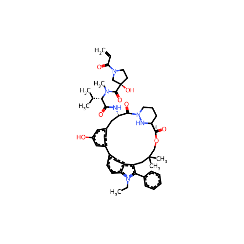 C=CC(=O)N1CC[C@](O)(C(=O)N(C)[C@H](C(=O)N[C@H]2Cc3cc(O)cc(c3)-c3ccc4c(c3)c(c(-c3ccccc3)n4CC)CC(C)(C)COC(=O)[C@@H]3CCCN(N3)C2=O)C(C)C)C1